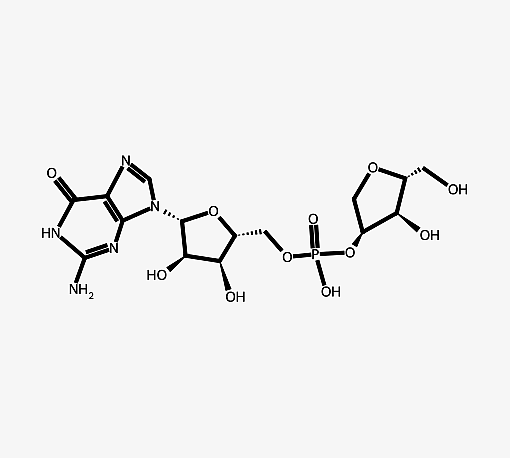 Nc1nc2c(ncn2[C@@H]2O[C@H](COP(=O)(O)O[C@H]3CO[C@H](CO)[C@H]3O)[C@@H](O)[C@H]2O)c(=O)[nH]1